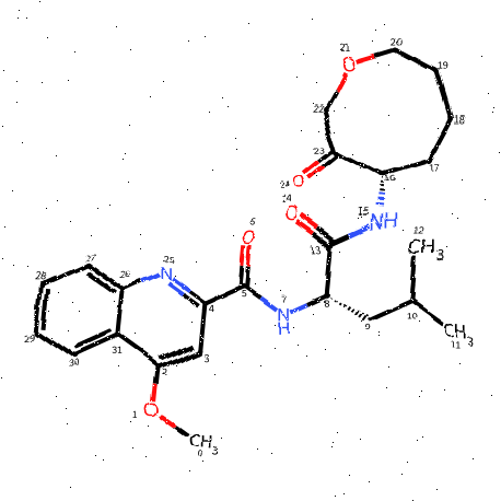 COc1cc(C(=O)N[C@@H](CC(C)C)C(=O)N[C@H]2CCCCOCC2=O)nc2ccccc12